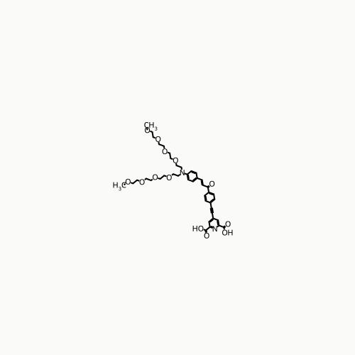 COCCOCCOCCOCCN(CCOCCOCCOCCOC)c1ccc(C=CC(=O)c2ccc(C#Cc3cc(C(=O)O)nc(C(=O)O)c3)cc2)cc1